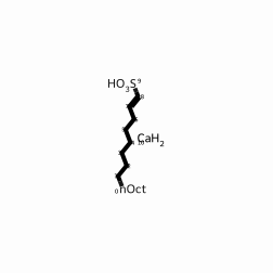 CCCCCCCCCCCCCCC=CS(=O)(=O)O.[CaH2]